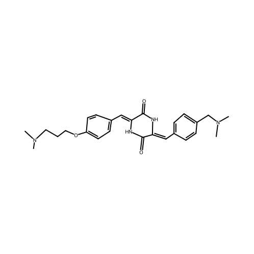 CN(C)CCCOc1ccc(C=c2[nH]c(=O)c(=Cc3ccc(CN(C)C)cc3)[nH]c2=O)cc1